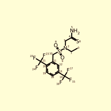 CCN(CC(N)=S)S(=O)(=O)Cc1cc(C(F)(F)F)ccc1C(F)(F)F